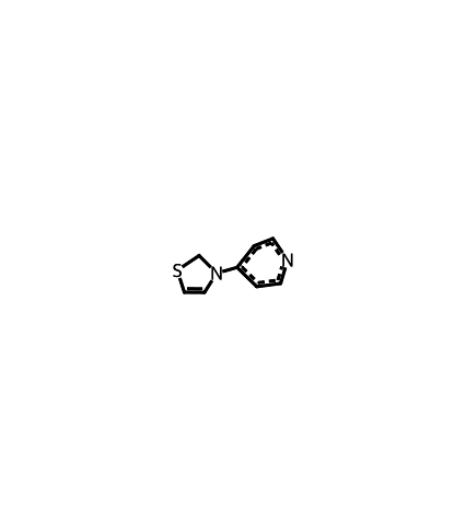 C1=CN(c2ccncc2)CS1